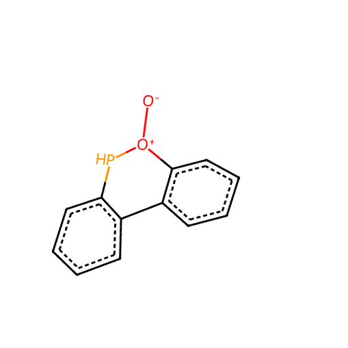 [O-][O+]1Pc2ccccc2-c2ccccc21